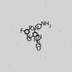 NC1CCN(C(=O)c2cc(C3CCCN3c3cc(F)cc(F)c3)c3nc(N4CCOCC4)cnc3c2)CC1